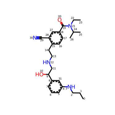 CCCNc1cccc(C(O)CNCCc2ccc(C(=O)N(CC)C(C)C)cc2C#N)c1